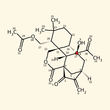 C=C1C(=O)[C@]23C[C@H]1C[C@H](O)[C@H]2[C@@]1(COC3=O)[C@@H](OC(C)=O)CCC(C)(C)[C@H]1COC(C)=O